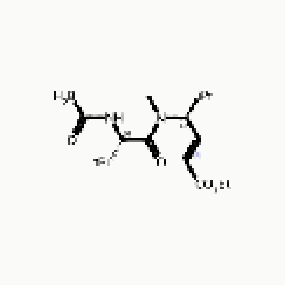 BC(=O)N[C@H](C(=O)N(C)[C@H](/C=C/C(=O)OCC)C(C)C)C(C)(C)C